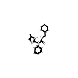 Cc1cnc(N(C(=O)OCC2CCCCC2)c2ccccc2)s1